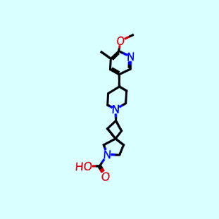 COc1ncc(C2CCN(C3CC4(CCN(C(=O)O)C4)C3)CC2)cc1C